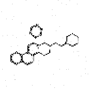 c1ccc2c(c1)ccc1c3c(ccc12)CC(CCN1CCCCC1)CC3.c1cnccn1